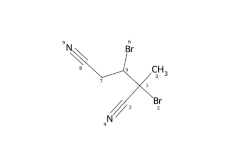 CC(Br)(C#N)C(Br)CC#N